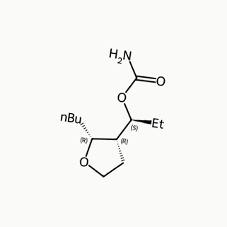 CCCC[C@H]1OCC[C@H]1[C@H](CC)OC(N)=O